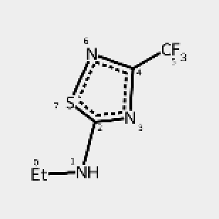 CCNc1nc(C(F)(F)F)ns1